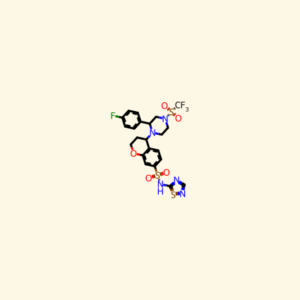 O=S(=O)(Nc1ncns1)c1ccc2c(c1)OCCC2N1CCN(S(=O)(=O)C(F)(F)F)CC1c1ccc(F)cc1